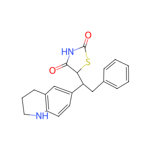 O=C1NC(=O)C(C(Cc2ccccc2)c2ccc3c(c2)CCCN3)S1